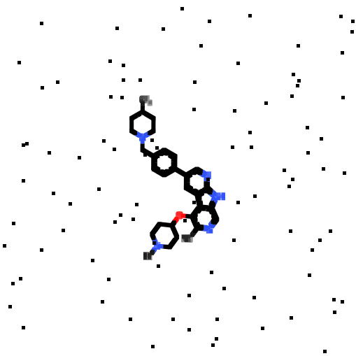 CCN1CCC(Oc2c(C#N)ncc3[nH]c4ncc(-c5ccc(CN6CCC(C(F)(F)F)CC6)cc5)cc4c23)CC1